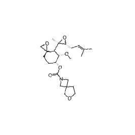 CO[C@@H]1[C@H](OC(=O)N2CC3(CCOC3)C2)CC[C@]2(CO2)[C@H]1[C@@]1(C)O[C@@H]1CC=C(C)C